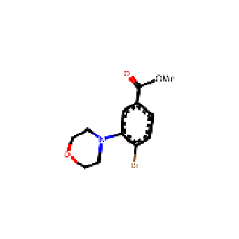 COC(=O)c1ccc(Br)c(N2CCOCC2)c1